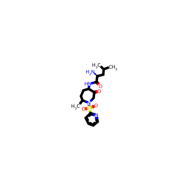 CC(C)C[C@H](N)C(=O)NC1CCC(C)N(S(=O)(=O)c2ccccn2)CC1=O